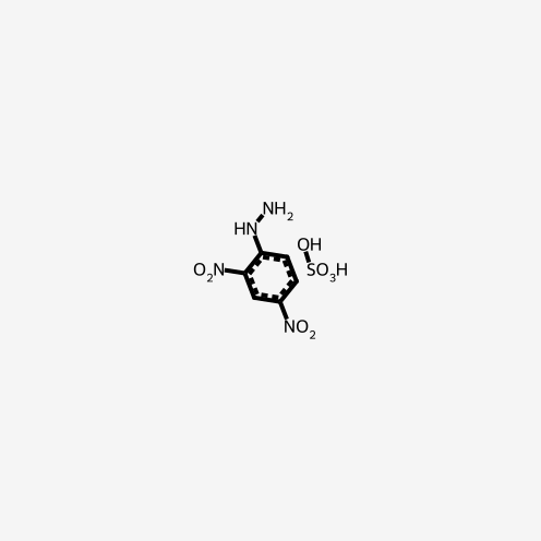 NNc1ccc([N+](=O)[O-])cc1[N+](=O)[O-].O=S(=O)(O)O